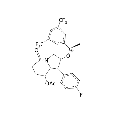 CC(=O)OC1CCC(=O)N2CC(O[C@H](C)c3cc(C(F)(F)F)cc(C(F)(F)F)c3)C(c3ccc(F)cc3)C12